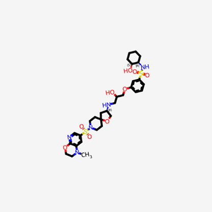 CN1CCOc2ncc(S(=O)(=O)N3CCC4(CC3)C[C@@H](NCC(O)COc3cccc(S(=O)(=O)N[C@@H]5CCCC[C@@H]5O)c3)CO4)cc21